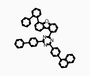 c1ccc(-c2ccc(-c3nc(-c4ccc(-c5cccc6ccccc56)cc4)nc(-c4cccc5oc6c(-c7ccccc7-c7ccccc7)cccc6c45)n3)cc2)cc1